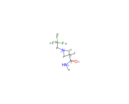 CNC(=O)C1(C)CN(CC(F)(F)F)C1